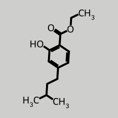 CCOC(=O)c1ccc(CCC(C)C)cc1O